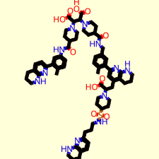 Cc1ccc(NC(=O)C2CCN(C(C(=O)O)C(C(=O)O)N3CCC(C(=O)NCc4ccc(C)c(-c5cc(CC(C(=O)O)N6CCC(S(=O)(=O)NCCCc7ccc8c(n7)NCCC8)CC6)c6c(n5)NCCC6)c4)CC3)CC2)cc1-c1ccc2c(n1)NCCC2